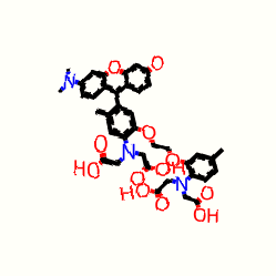 Cc1ccc(N(CC(=O)O)CC(=O)O)c(OCCOc2cc(-c3c4ccc(=O)cc-4oc4cc(N(C)C)ccc34)c(C)cc2N(CC(=O)O)CC(=O)O)c1